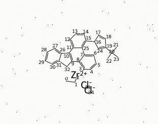 C[CH2][Zr+2][c]1cccc2c1c1c(c3cccc(C4C=CC(C(C)(C)C)=C4)c32)-c2ccccc2C1.[Cl-].[Cl-]